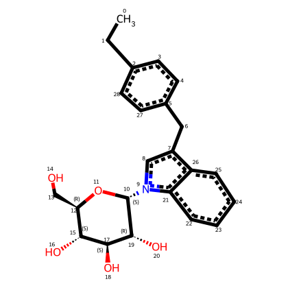 CCc1ccc(Cc2cn([C@H]3O[C@H](CO)[C@@H](O)[C@H](O)[C@H]3O)c3ccccc23)cc1